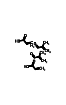 C=C(C)C=O.C=C(C)C=O.C=CC(=O)O.C=CC(=O)O